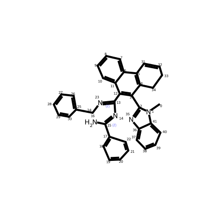 Cn1c(-c2c3c(c4ccccc4c2C(/N=C(\N)c2ccccc2)=N/Cc2ccccc2)C=CCC3)nc2ccccc21